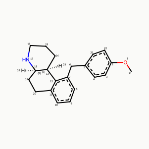 COc1ccc(Cc2cccc3c2[C@@H]2CCCN[C@@H]2CC3)cc1